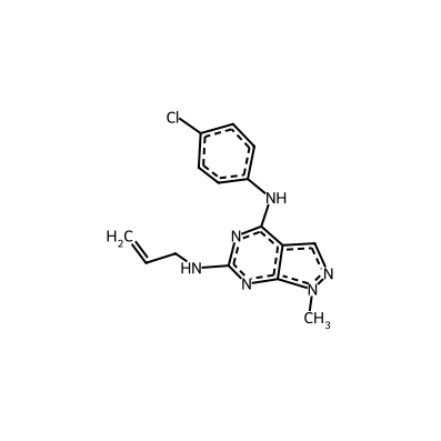 C=CCNc1nc(Nc2ccc(Cl)cc2)c2cnn(C)c2n1